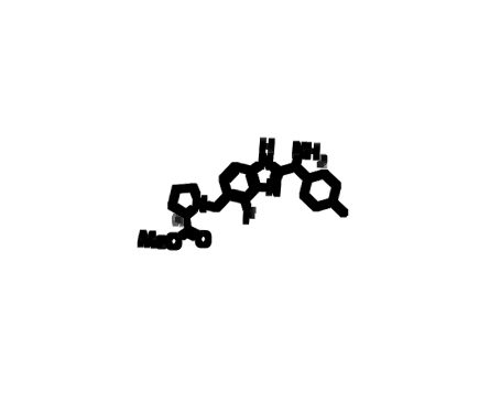 COC(=O)[C@H]1CCCN1Cc1ccc2[nH]c(C(N)C3CCC(C)CC3)nc2c1F